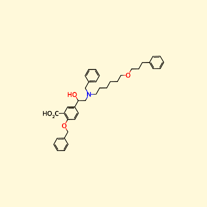 O=C(O)c1cc(C(O)CN(CCCCCCOCCCc2ccccc2)Cc2ccccc2)ccc1OCc1ccccc1